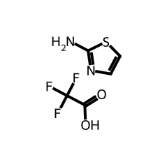 Nc1nccs1.O=C(O)C(F)(F)F